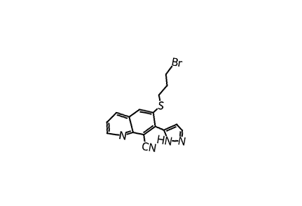 N#Cc1c(-c2ccn[nH]2)c(SCCCBr)cc2cccnc12